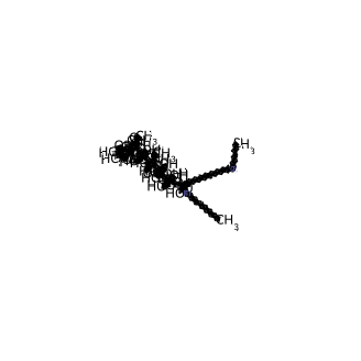 CCCCCCCC/C=C\CCCCCCCCCCCCCCCC(=O)N[C@@H](CO[C@@H]1OC(CO)[C@@H](O[C@@H]2OC(CO)[C@H](O[C@@H]3OC(CO)[C@H](O)[C@H](O[C@@H]4OC(CO)[C@H](O)[C@H](O[C@@H]5OC(CO)[C@@H](O[C@@H]6OC(CO)[C@H](O)[C@H](O)C6O)[C@H](O)C5NC(C)=O)C4O)C3NC(C)=O)[C@H](O)C2O)[C@H](O)C1O)[C@H](O)/C=C/CCCCCCCCCCCCC